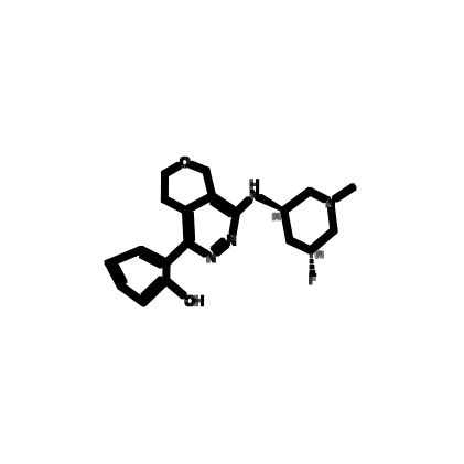 CN1C[C@H](F)C[C@@H](Nc2nnc(-c3ccccc3O)c3c2COCC3)C1